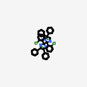 Clc1cccc(Cl)c1C1(C2(c3c(Cl)cccc3Cl)N=CC(c3ccccc3)(c3ccccc3)N2)N=C(c2ccccc2)C(c2ccccc2)=N1